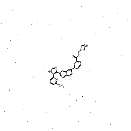 Cc1cccc(-c2[nH]cnc2-c2ccc3ncc(-c4ccnc(C(=O)OCC5CNC5)c4)cc3c2)n1